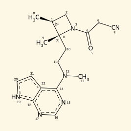 C[C@H]1CN(C(=O)CC#N)[C@]1(C)CCN(C)c1ncnc2[nH]ccc12